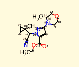 CCOC(=O)c1cc(N2CCOC[C@H]2C)nn1C(C#N)C1(C)CC1